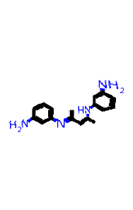 C/C(=C/C(C)=N/c1cccc(N)c1)Nc1cccc(N)c1